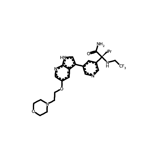 CC(C)[C@](NCC(F)(F)F)(C(N)=O)c1cncc(-c2c[nH]c3ncc(OCCN4CCOCC4)cc23)c1